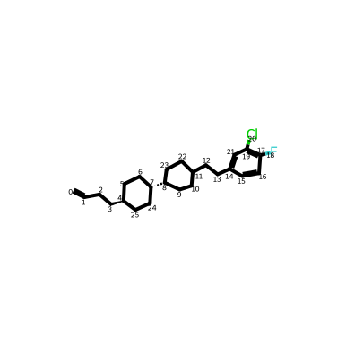 C=CCC[C@H]1CC[C@H](C2CCC(CCc3ccc(F)c(Cl)c3)CC2)CC1